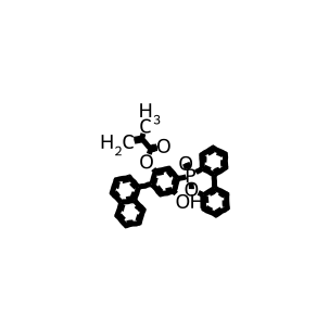 C=C(C)C(=O)Oc1cc(P2(=O)Oc3ccccc3-c3ccccc32)c(O)cc1-c1cccc2ccccc12